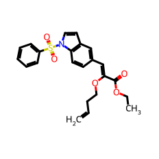 C=CCCOC(=Cc1ccc2c(ccn2S(=O)(=O)c2ccccc2)c1)C(=O)OCC